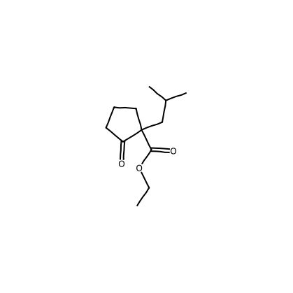 CCOC(=O)C1(CC(C)C)CCCC1=O